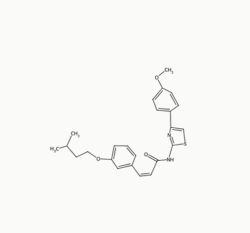 COc1ccc(-c2csc(NC(=O)/C=C\c3cccc(OCCC(C)C)c3)n2)cc1